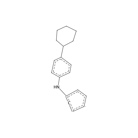 [c]1ccc(Nc2ccc(C3CCCCC3)cc2)cc1